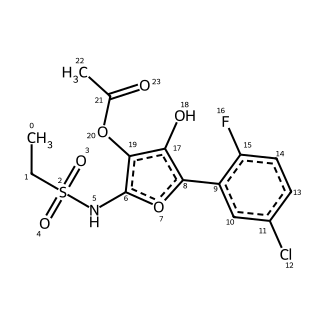 CCS(=O)(=O)Nc1oc(-c2cc(Cl)ccc2F)c(O)c1OC(C)=O